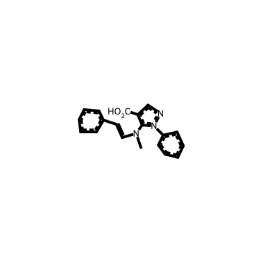 CN(C=Cc1ccccc1)c1c(C(=O)O)cnn1-c1ccccc1